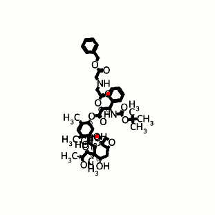 CC1=CC(C)(C)[C@](O)([C@@H](O)[C@H]2[C@](C)(C(=O)[C@@H](C)O)[C@@H](O)CC3OC[C@]32O)C[C@@H]1OC(=O)[C@H](OC(=O)CNCC(=O)OCc1ccccc1)[C@@H](NC(=O)OC(C)(C)C)c1ccccc1